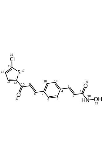 O=C(/C=C/c1ccc(/C=C/C(=O)c2ccc(Cl)s2)cc1)NO